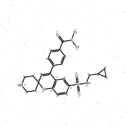 CCN(CC)C(=O)c1ccc(C2=CC3(CCNCC3)Oc3ccc(S(=O)(=O)NCC4CC4)cc32)cc1